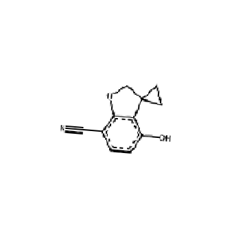 N#Cc1ccc(O)c2c1OCC21CC1